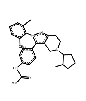 Cc1cccc(OCC(C)C)c1-n1nc2c(c1-c1ccc(NC(N)=O)cc1)CN(C1CCCC1C)CC2